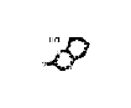 Cl.O=c1cnc2ccccc2o1